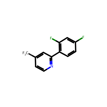 Fc1ccc(-c2cc(C(F)(F)F)ccn2)c(F)c1